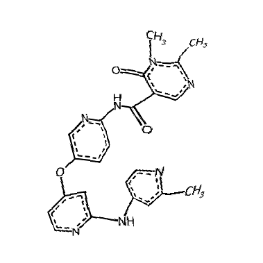 Cc1cc(Nc2cc(Oc3ccc(NC(=O)c4cnc(C)n(C)c4=O)nc3)ccn2)ccn1